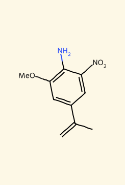 C=C(C)c1cc(OC)c(N)c([N+](=O)[O-])c1